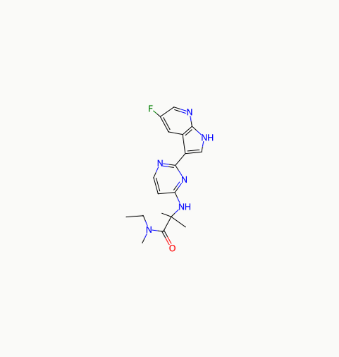 CCN(C)C(=O)C(C)(C)Nc1ccnc(-c2c[nH]c3ncc(F)cc23)n1